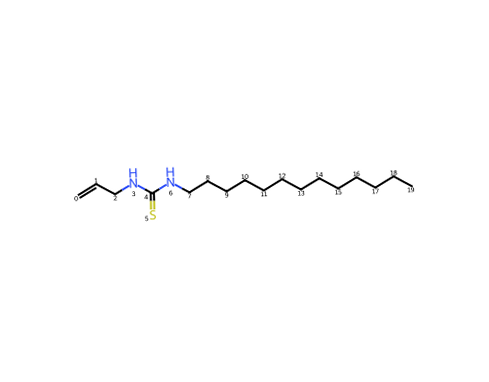 C=CCNC(=S)NCCCCCCCCCCCCC